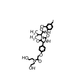 CC(C)C(C(=O)Nc1ccc(I)cc1Cl)N1C(=O)NC(c2ccc(OCC(=O)N(CCO)CCO)cc2)C1=O